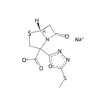 CSc1nnc(C2(C(=O)[O-])CS[C@@H]3CC(=O)N32)o1.[Na+]